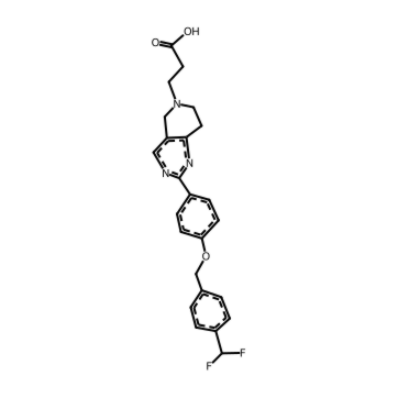 O=C(O)CCN1CCc2nc(-c3ccc(OCc4ccc(C(F)F)cc4)cc3)ncc2C1